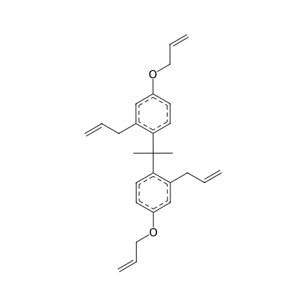 C=CCOc1ccc(C(C)(C)c2ccc(OCC=C)cc2CC=C)c(CC=C)c1